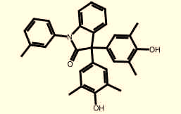 Cc1cccc(N2C(=O)C(c3cc(C)c(O)c(C)c3)(c3cc(C)c(O)c(C)c3)c3ccccc32)c1